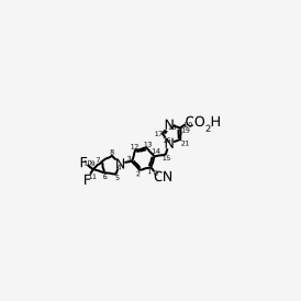 N#Cc1cc(N2CC3C(C2)C3(F)F)ccc1Cn1cnc(C(=O)O)c1